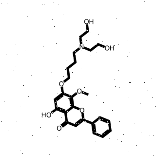 COc1c(OCCCCN(CCO)CCO)cc(O)c2c(=O)cc(-c3ccccc3)oc12